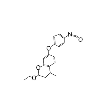 CCOC1CC(C)c2ccc(Oc3ccc(N=C=O)cc3)cc2O1